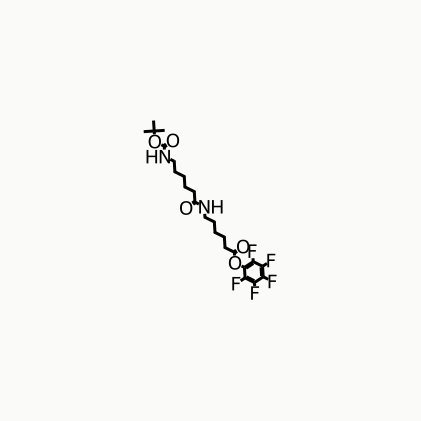 CC(C)(C)OC(=O)NCCCCCC(=O)NCCCCCC(=O)Oc1c(F)c(F)c(F)c(F)c1F